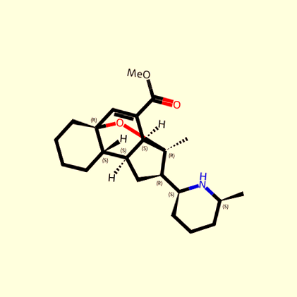 COC(=O)C1=C[C@@]23CCCC[C@H]2[C@@H]2C[C@H]([C@@H]4CCC[C@H](C)N4)[C@](C)(O3)[C@H]12